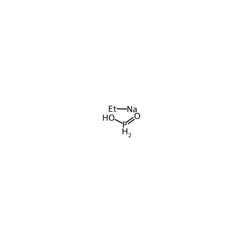 C[CH2][Na].O=[PH2]O